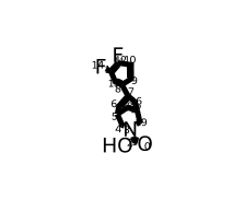 O=C(O)N1CC2C=C(c3ccc(F)c(F)c3)CC(C2)C1